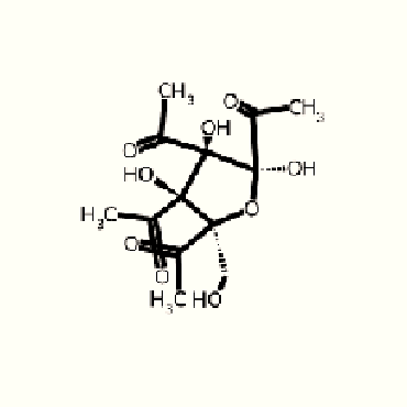 CC(=O)[C@@]1(O)[C@@](O)(C(C)=O)[C@](CO)(C(C)=O)O[C@]1(O)C(C)=O